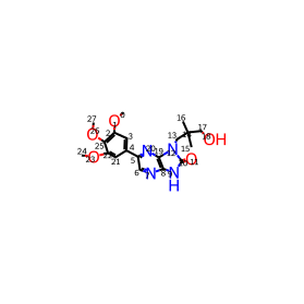 COc1cc(-c2cnc3[nH]c(=O)n(CC(C)(C)CO)c3n2)cc(OC)c1OC